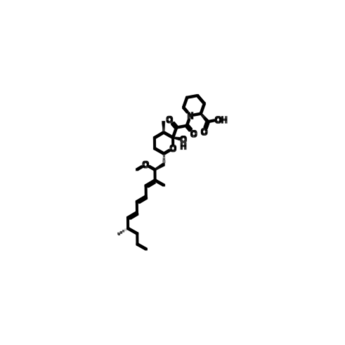 CCC[C@H](C)/C=C/C=C/C=C(\C)[C@H](C[C@@H]1CC[C@@H](C)[C@](O)(C(=O)C(=O)N2CCCC[C@H]2C(=O)O)O1)OC